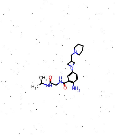 CC(C)NC(=O)CNC(=O)c1cc(N2CC(CN3CCCCC3)C2)ccc1N